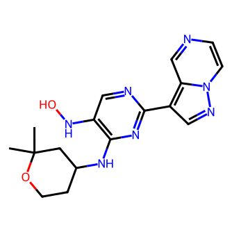 CC1(C)CC(Nc2nc(-c3cnn4ccncc34)ncc2NO)CCO1